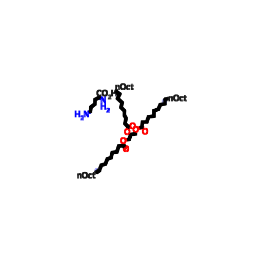 CCCCCCCC/C=C/CCCCCCCC(=O)OCC(COC(=O)CCCCCCC/C=C/CCCCCCCC)OC(=O)CCCCCCC/C=C/CCCCCCCC.NCCCCC(N)C(=O)O